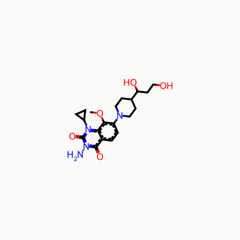 COc1c(N2CCC(C(O)CCO)CC2)ccc2c(=O)n(N)c(=O)n(C3CC3)c12